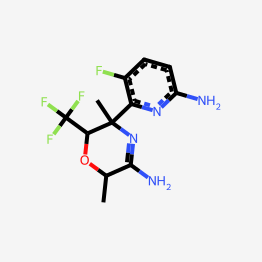 CC1OC(C(F)(F)F)C(C)(c2nc(N)ccc2F)N=C1N